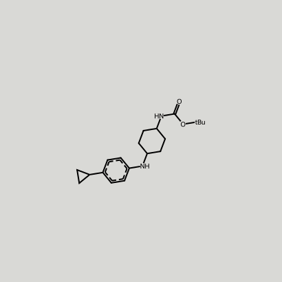 CC(C)(C)OC(=O)NC1CCC(Nc2ccc(C3CC3)cc2)CC1